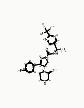 C[C@@H](NC(=O)N1C[C@H](N2CCOCC2=O)C(c2ccc(F)cc2)=N1)c1cnc(C(F)(F)F)nc1